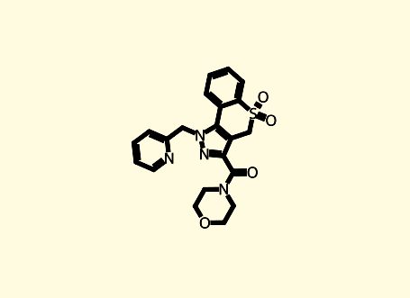 O=C(c1nn(Cc2ccccn2)c2c1CS(=O)(=O)c1ccccc1-2)N1CCOCC1